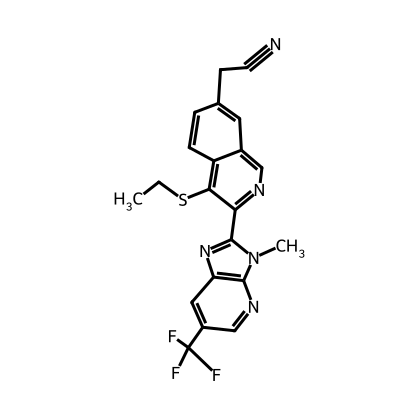 CCSc1c(-c2nc3cc(C(F)(F)F)cnc3n2C)ncc2cc(CC#N)ccc12